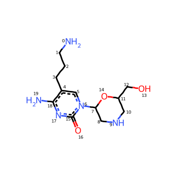 NCCCc1cn(C2CNCC(CO)O2)c(=O)nc1N